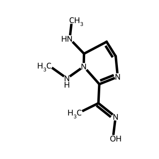 CNC1C=CN=C(C(C)=NO)N1NC